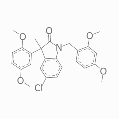 COc1ccc(CN2C(=O)C(C)(c3cc(OC)ccc3OC)c3cc(Cl)ccc32)c(OC)c1